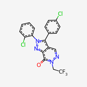 O=c1c2nn(-c3ccccc3Cl)c(-c3ccc(Cl)cc3)c2cnn1CC(F)(F)F